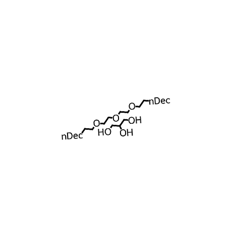 CCCCCCCCCCCCOCCOCCOCCCCCCCCCCCC.OCC(O)CO